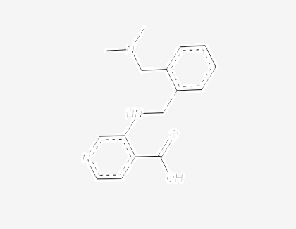 CN(C)Cc1ccccc1CNc1cnccc1C(=O)O